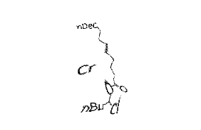 CCCCCCCCCCCCCCCCCC(=O)OC(Cl)CCCC.[Cr]